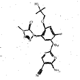 Cn1nnn(-c2cc(Nc3ncc(C#N)c(N)n3)c(F)cc2OCC(C)(C)O)c1=O